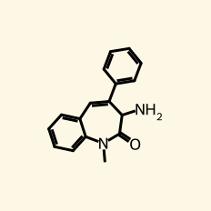 CN1C(=O)C(N)C(c2ccccc2)=Cc2ccccc21